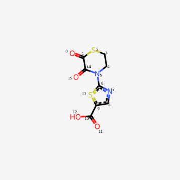 O=C1SCCN(c2ncc(C(=O)O)s2)C1=O